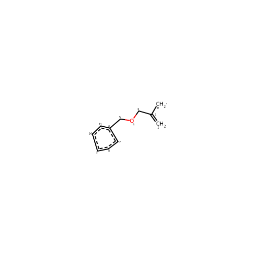 [CH2]C(=C)COCc1ccccc1